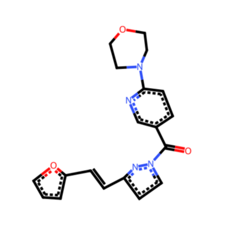 O=C(c1ccc(N2CCOCC2)nc1)n1ccc(C=Cc2ccco2)n1